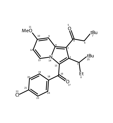 CCC(c1c(C(=O)CC(C)(C)C)c2cc(OC)ccn2c1C(=O)c1ccc(Cl)cc1)C(C)(C)C